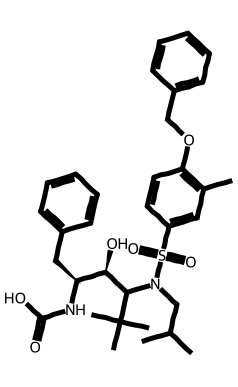 Cc1cc(S(=O)(=O)N(CC(C)C)C([C@H](O)[C@H](Cc2ccccc2)NC(=O)O)C(C)(C)C)ccc1OCc1ccccc1